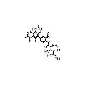 CC(=O)Nc1c(I)c(NC(C)=O)c(I)c(-c2ccc(C(=O)C(=O)[C@H](N)[C@@H](O)[C@H](O)[C@H](O)CO)c([N+](=O)[O-])c2)c1I